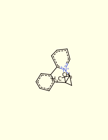 CC12CC1(C)[n+]1ccccc1-c1ccccc12